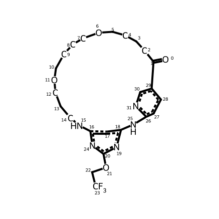 O=C1CCCCOCCCCOCCCNc2cc(nc(OCC(F)(F)F)n2)Nc2ccc1cn2